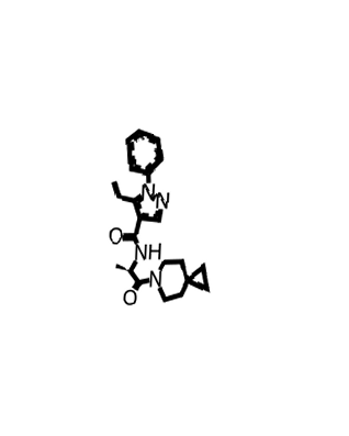 CCc1c(C(=O)N[C@H](C)C(=O)N2CCC3(CC2)CC3)cnn1-c1ccccc1